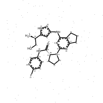 C[C@H](CO)c1cc(Nc2nc(N3CCC[C@@H]3C(=O)Nc3ccc(F)nc3)nc3c2CCC3)n[nH]1